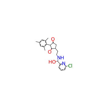 Cc1cc(C)c(C2C(=O)CC(CCNC(O)c3cccc(Cl)n3)C2=O)c(C)c1